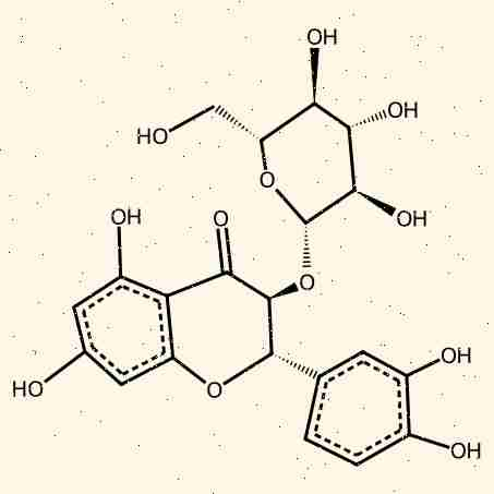 O=C1c2c(O)cc(O)cc2O[C@@H](c2ccc(O)c(O)c2)[C@@H]1O[C@@H]1O[C@H](CO)[C@@H](O)[C@H](O)[C@H]1O